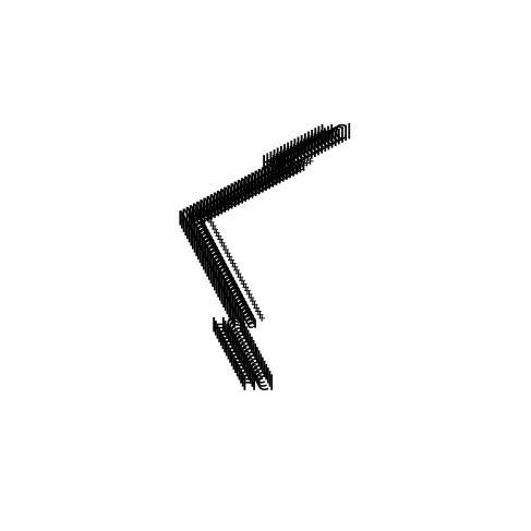 Cl.Cl.Cl.Cl.Cl.Cl.Cl.Cl.Cl.Cl.Cl.Cl.Cl.Cl.Cl.Cl.Cl.Cl.Cl.Cl.Cl.Cl.Cl.Cl.Cl.Cl.Cl.Cl.Cl.Cl.Cl.Cl.Cl.Cl.Cl.Cl.[Na+].[Na+].[Na+].[Na+].[Na+].[Na+].[Na+].[Na+].[Na+].[Na+].[Na+].[Na+].[Na+].[Na+].[Na+].[Na+].[Na+].[Na+].[Na+].[Na+].[Na+].[Na+].[Na+].[Na+].[Na+].[Na+].[Na+].[Na+].[Na+].[Na+].[Na+].[Na+].[Na+].[Na+].[Na+].[Na+].[Na+].[Na+].[Na+].[Na+].[Na+].[Na+].[Na+].[Na+].[Na+].[Na+].[Na+].[Na+].[Na+].[Na+].[Na+].[Na+].[Na+].[Na+].[Na+].[Na+].[Na+].[Na+].[Na+].[Na+].[Na+]